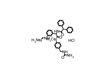 CN(C(=O)C(NC(=O)C(c1ccccc1)c1ccccc1)c1cccc(NC=NN)c1)c1ccc(CNC(N)=O)cc1.Cl